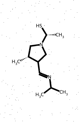 CC(C)/N=C/C1CN([C@@H](C)S)C[C@H]1C